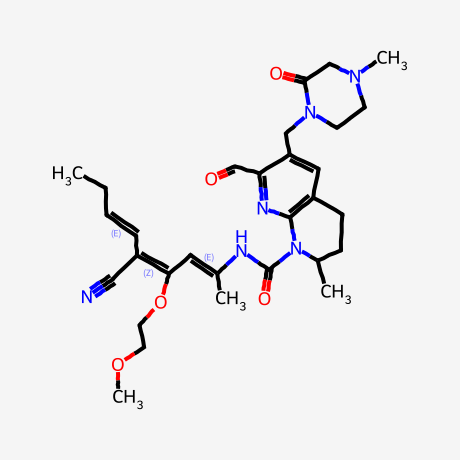 CC/C=C/C(C#N)=C(\C=C(/C)NC(=O)N1c2nc(C=O)c(CN3CCN(C)CC3=O)cc2CCC1C)OCCOC